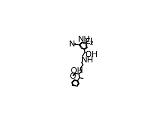 CC(c1ccccc1)C(CCCCNCC(O)c1cc(Cl)c(N)c(C#N)c1)C(=O)O